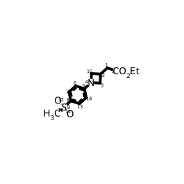 CCOC(=O)CC1CN(c2ccc(S(C)(=O)=O)cc2)C1